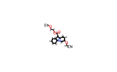 CCOCCOC(=O)c1c2ccccc2n2cc(OCC#N)ccc12